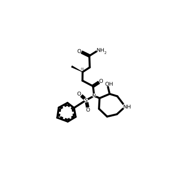 C[C@@H](CC(N)=O)CC(=O)N(C1CCCNCC1O)S(=O)(=O)c1ccccc1